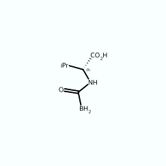 BC(=O)N[C@@H](C(=O)O)C(C)C